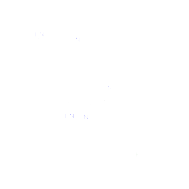 Nc1cncc(-c2ccc3[nH]nc(-c4cc5c(-c6ccc(F)s6)cccc5[nH]4)c3c2)c1